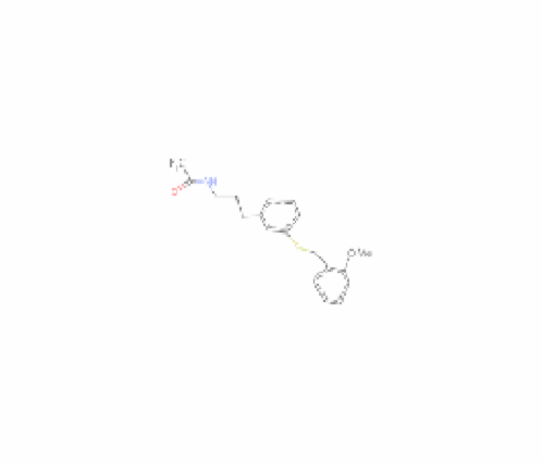 COc1ccccc1CSc1cccc(CCCNC(=O)C(F)(F)F)c1